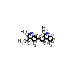 Cc1cc(C(C)C)c2ccc(CCC(C)c3c(C)c(C)nc4ccccc34)cc2n1